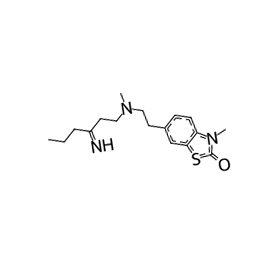 CCCC(=N)CCN(C)CCc1ccc2c(c1)sc(=O)n2C